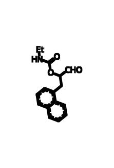 CCNC(=O)OC(C=O)Cc1cccc2ccccc12